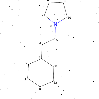 C1CCC(CCN2CCCC2)CC1